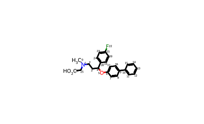 CN(CCC(Oc1ccc(-c2ccccc2)cc1)c1ccc(F)cc1)CC(=O)O